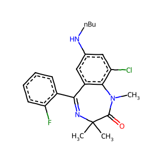 CCCCNc1cc(Cl)c2c(c1)C(c1ccccc1F)=NC(C)(C)C(=O)N2C